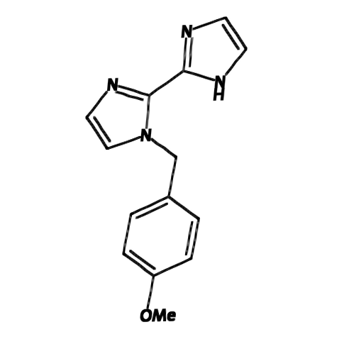 COc1ccc(Cn2ccnc2-c2ncc[nH]2)cc1